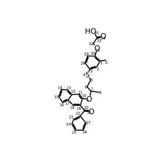 Cc1cc(SCCC(C)Oc2cc3ccccc3cc2C(=O)c2ccccc2)ccc1OCC(=O)O